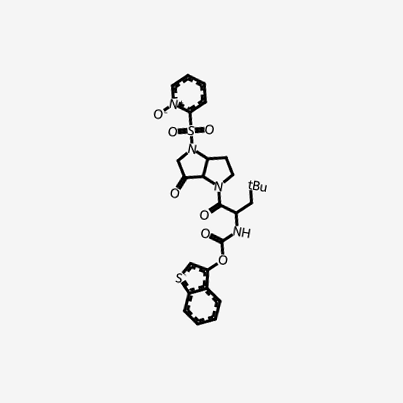 CC(C)(C)CC(NC(=O)Oc1csc2ccccc12)C(=O)N1CCC2C1C(=O)CN2S(=O)(=O)c1cccc[n+]1[O-]